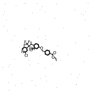 CCOC(=O)c1ccc(COc2ccc(C(C)C(O)(c3ccnc(Cl)c3)C(F)(F)F)c(Cl)c2)cc1